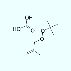 C=C(C)COOC(C)(C)C.O=C(O)O